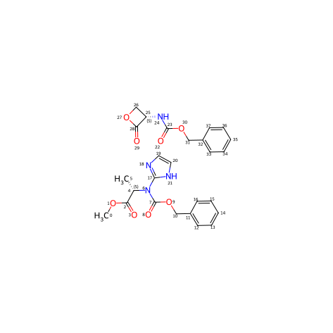 COC(=O)[C@H](C)N(C(=O)OCc1ccccc1)c1ncc[nH]1.O=C(N[C@H]1COC1=O)OCc1ccccc1